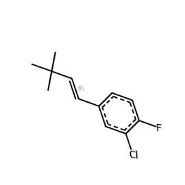 CC(C)(C)/C=C/c1ccc(F)c(Cl)c1